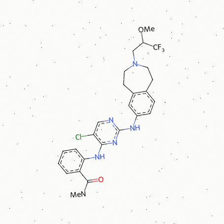 CNC(=O)c1ccccc1Nc1nc(Nc2ccc3c(c2)CCN(CC(OC)C(F)(F)F)CC3)ncc1Cl